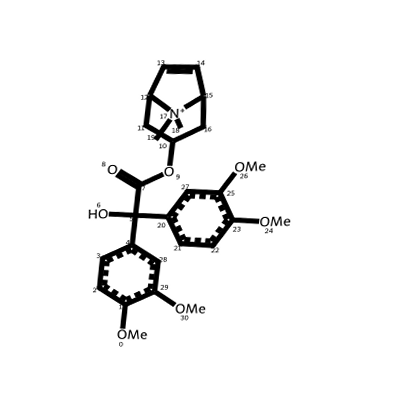 COc1ccc(C(O)(C(=O)OC2CC3C=CC(C2)[N+]3(C)C)c2ccc(OC)c(OC)c2)cc1OC